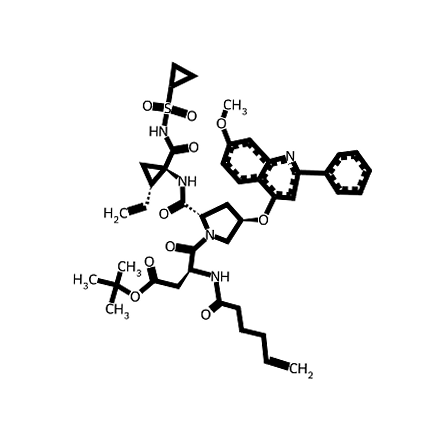 C=CCCCC(=O)N[C@@H](CC(=O)OC(C)(C)C)C(=O)N1C[C@H](Oc2cc(-c3ccccc3)nc3cc(OC)ccc23)C[C@H]1C(=O)N[C@]1(C(=O)NS(=O)(=O)C2CC2)C[C@H]1C=C